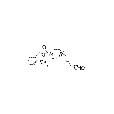 O=CCCCCN1CCN(C(=O)OCc2ccccc2C(F)(F)F)CC1